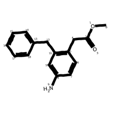 COC(=O)Cc1ccc(N)cc1Cc1ccccc1